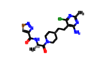 Cc1nc(N)c(CCC2CCN(C(=O)[C@H](C)NC(=O)c3csnn3)CC2)c(Cl)n1